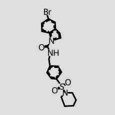 O=C(NCc1ccc(S(=O)(=O)N2CCCCC2)cc1)n1ccc2cc(Br)ccc21